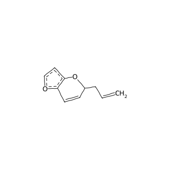 C=CCC1C=Cc2occc2O1